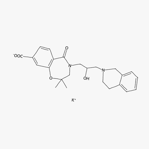 CC1(C)CN(CC(O)CN2CCc3ccccc3C2)C(=O)c2ccc(C(=O)[O-])cc2O1.[K+]